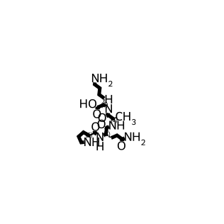 C[C@H](NC(=O)[C@H](CCC(N)=O)NC(=O)[C@@H]1CCCN1)C(=O)N[C@@H](CCCCN)C(=O)O